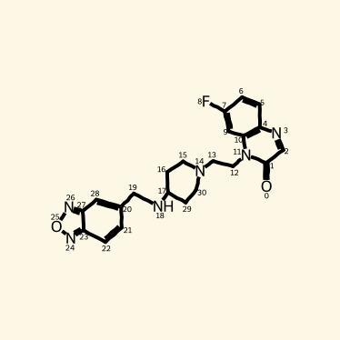 O=c1cnc2ccc(F)cc2n1CCN1CCC(NCc2ccc3nonc3c2)CC1